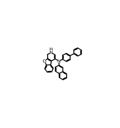 C1=C(N(c2ccc(-c3ccccc3)cc2)c2ccc3ccccc3c2)c2c(oc3ccccc23)CN1